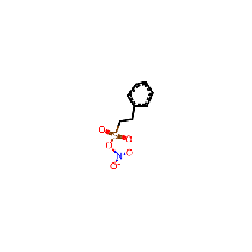 O=[N+]([O-])OS(=O)(=O)CCc1ccccc1